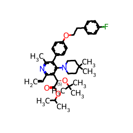 C=Cc1nc(C)c(-c2ccc(OCCc3ccc(F)cc3)cc2)c(N2CCC(C)(C)CC2)c1[C@H](OC(C)(C)C)C(=O)OC(C)C